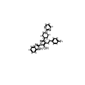 Oc1c(CCc2ccc(F)cc2)c(C2CCN(c3ncccn3)CC2)nn1-c1nc2ccccc2[nH]1